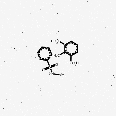 CCCNS(=O)(=O)c1ccccc1.Cc1c(C(=O)O)cccc1C(=O)O